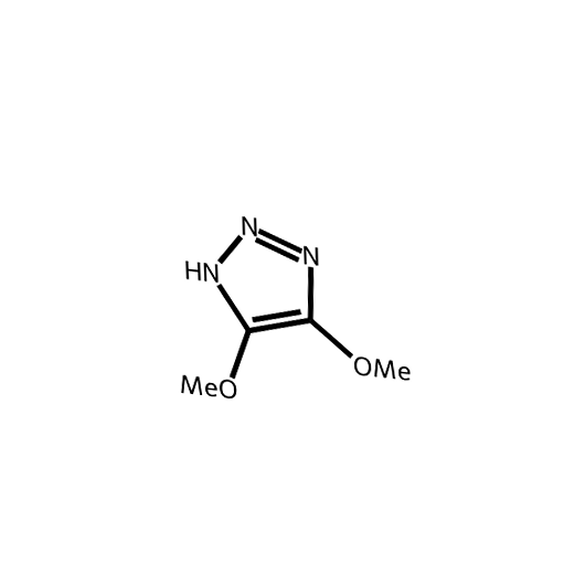 COc1nn[nH]c1OC